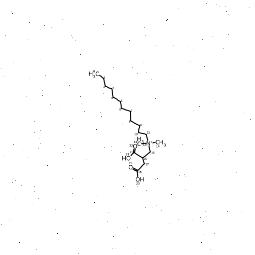 CCCCCCCCCCCC[N+](C)(C)CC(CC(=O)O)C(=O)O